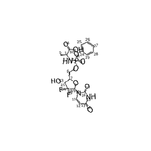 C[C@H](NP(=O)(OC[C@H]1O[C@@H](n2ccc(=O)[nH]c2=O)C(F)(F)[C@@H]1O)Oc1ccccc1)C(=O)O